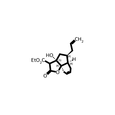 C=CC[C@@H]1C[C@]2(O)C(C(=O)OCC)C(=O)O[C@@]23CC=CC[C@H]13